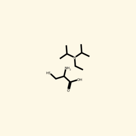 CCN(C(C)C)C(C)C.NC(CS)C(=O)O